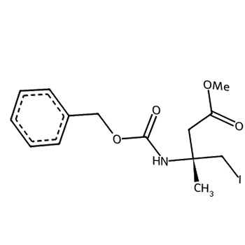 COC(=O)C[C@](C)(CI)NC(=O)OCc1ccccc1